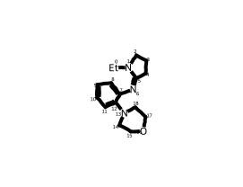 CCN1CCCC1=Nc1ccccc1N1CCOCC1